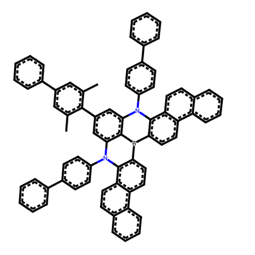 Cc1cc(-c2ccccc2)cc(C)c1-c1cc2c3c(c1)N(c1ccc(-c4ccccc4)cc1)c1c(ccc4c1ccc1ccccc14)B3c1ccc3c(ccc4ccccc43)c1N2c1ccc(-c2ccccc2)cc1